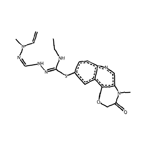 C=CN(C)/N=C\N/N=C(\NCC)Sc1ccc2ncc3c(c2c1)OCC(=O)N3C